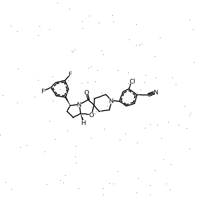 N#Cc1ccc(N2CCC3(CC2)O[C@@H]2CC[C@@H](c4cc(F)cc(F)c4)N2C3=O)cc1Cl